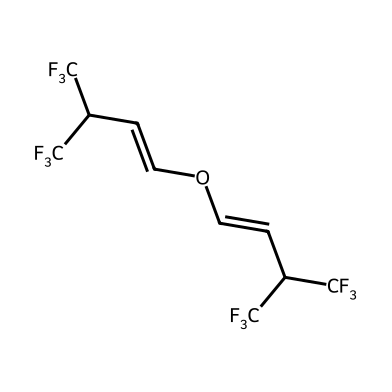 FC(F)(F)C(C=COC=CC(C(F)(F)F)C(F)(F)F)C(F)(F)F